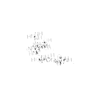 CNC(=O)[C@H](CC(=O)O)NC(=O)[C@H](CCCNC(=N)N)NC(=O)[C@H](CC=O)NC(=O)CC[C@H](NC(=O)c1ccc(NCc2cnc3nc(N)[nH]c(=O)c3n2)cc1)C(=O)O